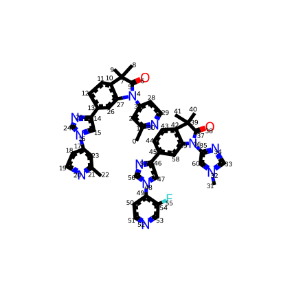 Cc1cc(N2C(=O)C(C)(C)c3ccc(-c4cn(-c5ccnc(C)c5)cn4)cc32)ccn1.Cn1cnc(N2C(=O)C(C)(C)c3ccc(-c4cn(-c5ccncc5F)cn4)cc32)c1